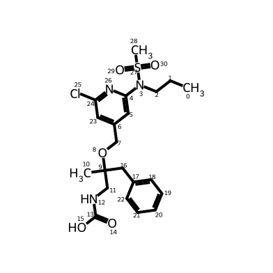 CCCN(c1cc(COC(C)(CNC(=O)O)Cc2ccccc2)cc(Cl)n1)S(C)(=O)=O